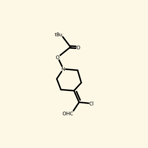 CC(C)(C)C(=O)ON1CCC(=C(Cl)C=O)CC1